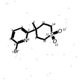 CC1(c2cccc(Br)n2)CCS(=O)(=O)CC1